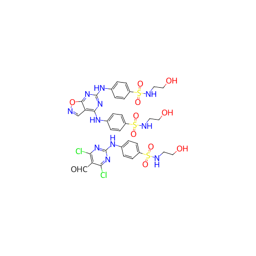 O=Cc1c(Cl)nc(Nc2ccc(S(=O)(=O)NCCO)cc2)nc1Cl.O=S(=O)(NCCO)c1ccc(Nc2nc(Nc3ccc(S(=O)(=O)NCCO)cc3)c3cnoc3n2)cc1